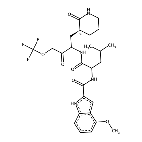 COc1cccc2[nH]c(C(=O)NC(CC(C)C)C(=O)NC(C[C@@H]3CCCNC3=O)C(=O)COC(F)(F)F)cc12